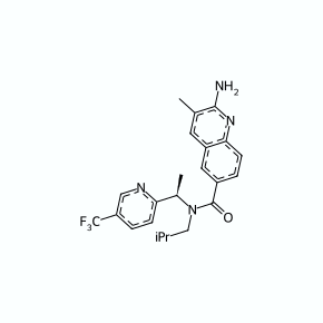 Cc1cc2cc(C(=O)N(CC(C)C)[C@H](C)c3ccc(C(F)(F)F)cn3)ccc2nc1N